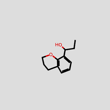 CCC(O)c1cccc2c1OCCC2